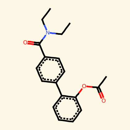 CCN(CC)C(=O)c1ccc(-c2ccccc2OC(C)=O)cc1